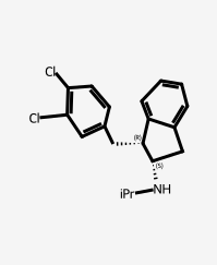 CC(C)N[C@H]1Cc2ccccc2[C@H]1Cc1ccc(Cl)c(Cl)c1